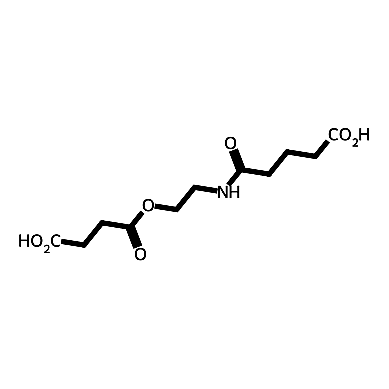 O=C(O)CCCC(=O)NCCOC(=O)CCC(=O)O